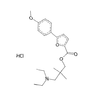 CCN(CC)CC(C)(C)COC(=O)c1ccc(-c2ccc(OC)cc2)o1.Cl